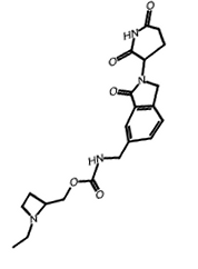 CCN1CCC1COC(=O)NCc1ccc2c(c1)C(=O)N(C1CCC(=O)NC1=O)C2